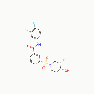 O=C(Nc1ccc(F)c(F)c1)c1cccc(S(=O)(=O)N2CCC(O)C(F)C2)c1